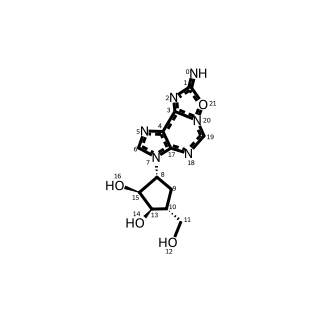 N=c1nc2c3ncn([C@@H]4C[C@H](CO)[C@@H](O)[C@H]4O)c3ncn2o1